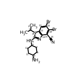 CC(C)n1c(NC2CCC(N)CC2)nc2c(C#N)c(Br)c(Br)cc21